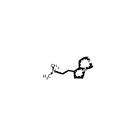 CN(C)CCc1ccn2ccccc12